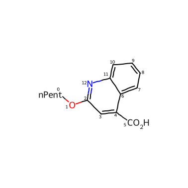 CCCCCOc1cc(C(=O)O)c2ccccc2n1